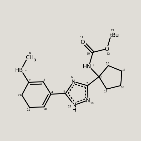 CBC1=CC(c2nc(C3(NC(=O)OC(C)(C)C)CCCC3)n[nH]2)=CCC1